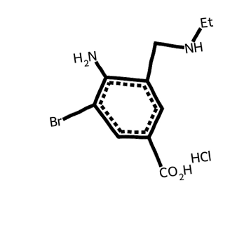 CCNCc1cc(C(=O)O)cc(Br)c1N.Cl